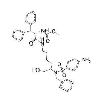 COC(=O)N[C@H](C(=O)NCCCCC(CO)N(Cc1cccnc1)S(=O)(=O)c1ccc(N)cc1)C(c1ccccc1)c1ccccc1